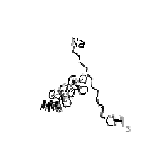 CCCCCCCCCCC[CH2][Na].O=S(=O)([O-])[O-].[Al+3].[Mg+2].[O-][Si]([O-])([O-])O